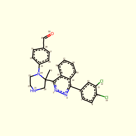 CC1(c2nnc(-c3ccc(Cl)c(Cl)c3)c3ccccc23)CNCCN1c1ccc(C=O)cc1